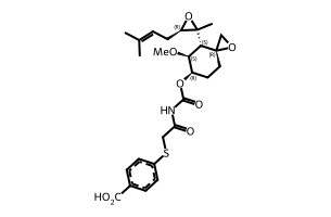 CO[C@H]1[C@H](C2(C)O[C@@H]2CC=C(C)C)[C@]2(CC[C@H]1OC(=O)NC(=O)CSc1ccc(C(=O)O)cc1)CO2